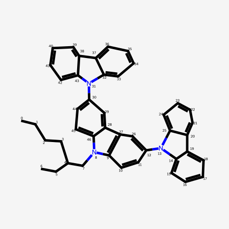 CCCCC(CC)Cn1c2ccc(-n3c4ccccc4c4ccccc43)cc2c2cc(-n3c4ccccc4c4ccccc43)ccc21